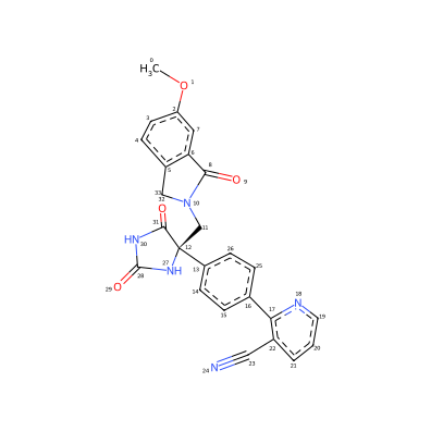 COc1ccc2c(c1)C(=O)N(C[C@@]1(c3ccc(-c4ncccc4C#N)cc3)NC(=O)NC1=O)C2